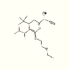 C#C[C@@H](O)C1=CC(OCCOCC)=C2C(C)C(C)CC(C)(C)C2C1